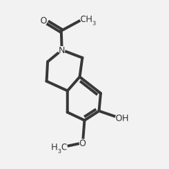 COC1=C(O)C=C2CN(C(C)=O)CCC2C1